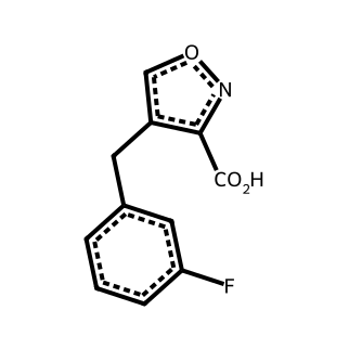 O=C(O)c1nocc1Cc1cccc(F)c1